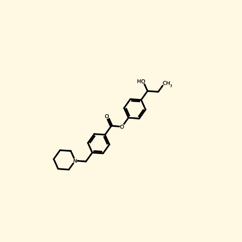 CCC(O)c1ccc(OC(=O)c2ccc(CN3CCCCC3)cc2)cc1